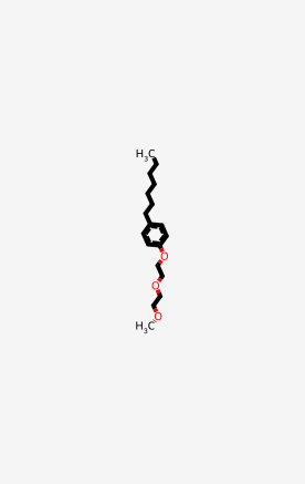 CCCCCCCc1ccc(OCCOCCOC)cc1